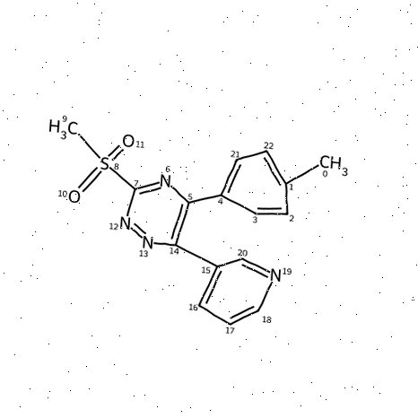 Cc1ccc(-c2nc(S(C)(=O)=O)nnc2-c2cccnc2)cc1